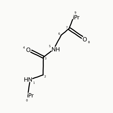 CC(C)NCC(=O)NCC(=O)C(C)C